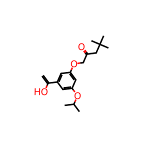 C=C(O)c1cc(OCC(=O)CC(C)(C)C)cc(OC(C)C)c1